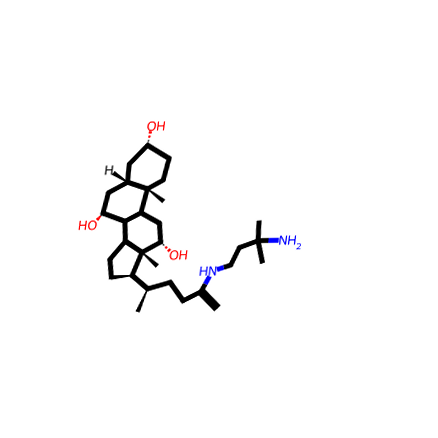 C=C(CC[C@@H](C)[C@H]1CCC2C3C(C[C@H](O)[C@@]21C)[C@@]1(C)CC[C@@H](O)C[C@H]1C[C@H]3O)NCCC(C)(C)N